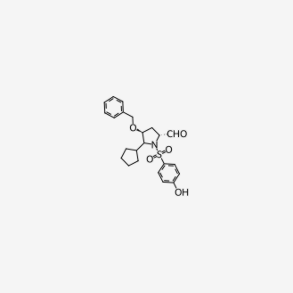 O=C[C@H]1C[C@H](OCc2ccccc2)C(C2CCCC2)N1S(=O)(=O)c1ccc(O)cc1